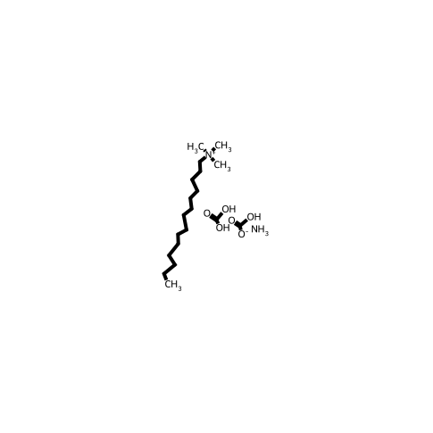 CCCCCCCCCCCCCC[N+](C)(C)C.N.O=C(O)O.O=C([O-])O